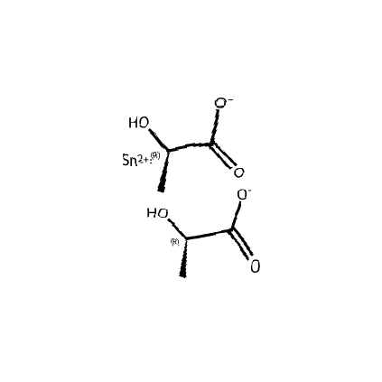 C[C@@H](O)C(=O)[O-].C[C@@H](O)C(=O)[O-].[Sn+2]